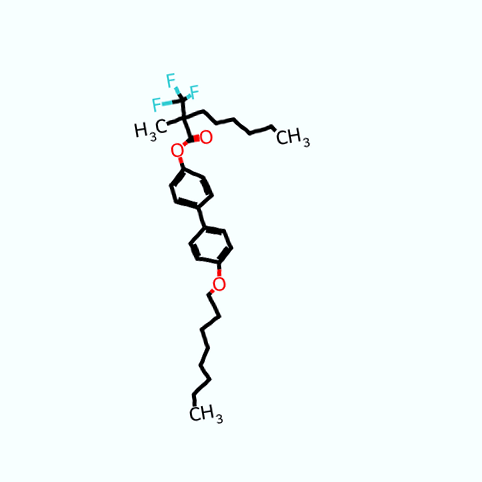 CCCCCCCCOc1ccc(-c2ccc(OC(=O)C(C)(CCCCCC)C(F)(F)F)cc2)cc1